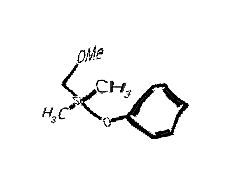 COC[Si](C)(C)Oc1ccccc1